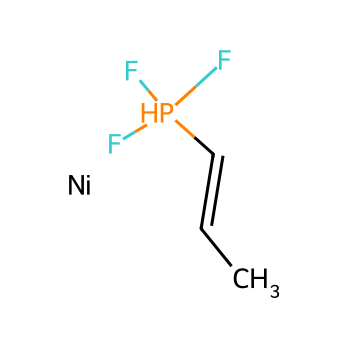 CC=C[PH](F)(F)F.[Ni]